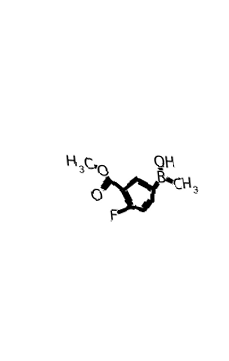 COC(=O)c1cc(B(C)O)ccc1F